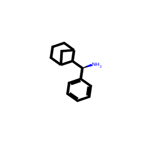 N[C@@H](c1ccccc1)C1C2CCCC1C2